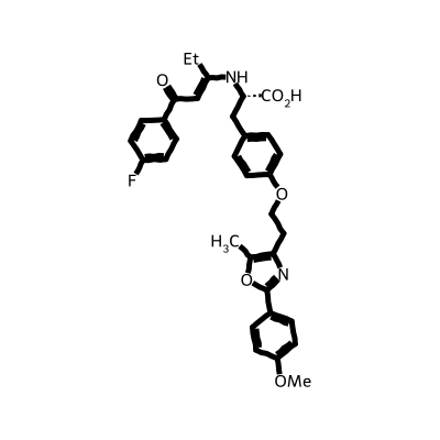 CC/C(=C\C(=O)c1ccc(F)cc1)N[C@@H](Cc1ccc(OCCc2nc(-c3ccc(OC)cc3)oc2C)cc1)C(=O)O